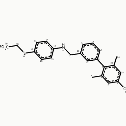 COc1cc(C)c(-c2cccc(CNc3ccc(SCC(=O)O)cc3)c2)c(C)c1